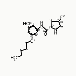 CCCCCOc1cccc(NC(=O)[C@@H]2C[C@@H](F)CN2)n1.Cl